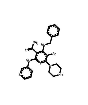 CC(=O)c1c(N2CCNCC2)nc(Nc2cccnc2)c(C(N)=O)c1NCc1ccccc1